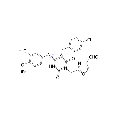 Cc1cc(/N=c2\[nH]c(=O)n(Cc3nc(C=O)co3)c(=O)n2Cc2ccc(Cl)cc2)ccc1OC(C)C